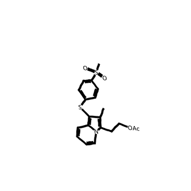 CC(=O)OCCc1c(C)c(Sc2ccc(S(C)(=O)=O)cc2)c2ccccn12